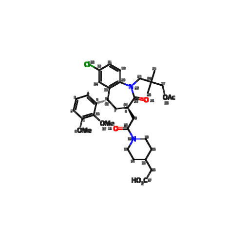 COc1cccc([C@H]2C[C@H](CC(=O)N3CCC(CC(=O)O)CC3)C(=O)N(CC(C)(C)COC(C)=O)c3ccc(Cl)cc32)c1OC